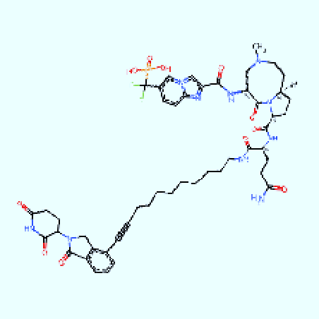 CN1CC[C@H]2CC[C@@H](C(=O)N[C@@H](CCC(N)=O)C(=O)NCCCCCCCCCC#Cc3cccc4c3CN(C3CCC(=O)NC3=O)C4=O)N2C(=O)[C@@H](NC(=O)c2cn3cc(C(F)(F)P(=O)(O)O)ccc3n2)C1